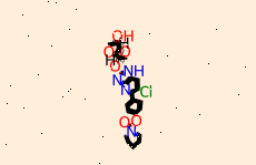 O=C(Oc1ccc(-c2nc3nc(O[C@@H]4CO[C@H]5[C@@H]4OC[C@H]5O)[nH]c3cc2Cl)cc1)N1CCCCC1